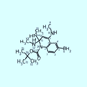 Bc1ccc2c(c1)C(NC)=CC(NC)(NC)N2C(=O)OC(C)(C)C